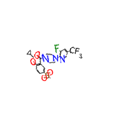 CS(=O)(=O)c1ccc(OCC2CC2)c(C(=O)N2CCN(c3ncc(C(F)(F)F)cc3F)CC2)c1